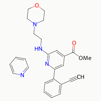 C#Cc1ccccc1-c1cc(C(=O)OC)cc(NCCN2CCOCC2)n1.c1ccncc1